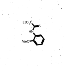 CCOC(=O)C(=S)Nc1ccccc1OC